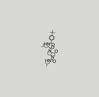 CC(C)CNC(=O)N1CC(=O)C2C1CCN2C(=O)C(CC(C)C)NC(=O)c1ccc(C(C)(C)C)cc1